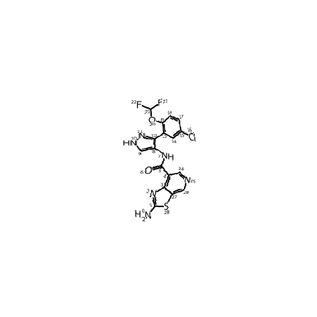 Nc1nc2c(C(=O)Nc3c[nH]nc3-c3cc(Cl)ccc3OC(F)F)cncc2s1